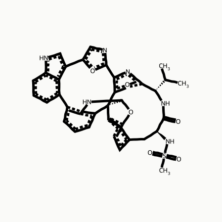 CC(C)[C@@H]1NC(=O)[C@@H](NS(C)(=O)=O)Cc2ccc3c(c2)[C@]24c5cccc(c5NC2O3)-c2cccc3[nH]cc(c23)-c2cnc(o2)-c2nc1oc24